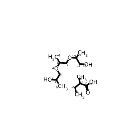 CC(O)COC(C)COC(C)CO.CCC(C)C(=O)O